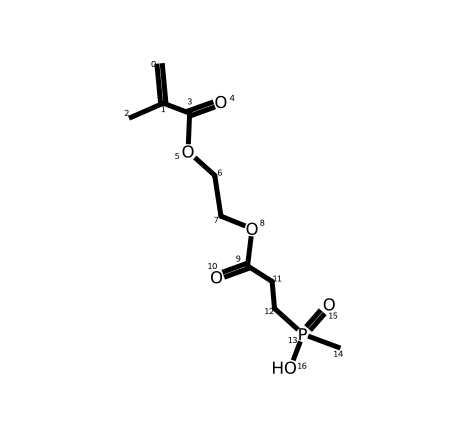 C=C(C)C(=O)OCCOC(=O)CCP(C)(=O)O